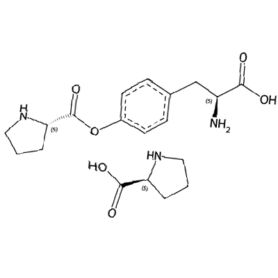 N[C@@H](Cc1ccc(OC(=O)[C@@H]2CCCN2)cc1)C(=O)O.O=C(O)[C@@H]1CCCN1